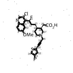 COc1ccc2ncc(Cl)c([C@@H](F)CC[C@@H]3CCN(CC#Cc4cc(F)cs4)C[C@@H]3CC(=O)O)c2c1